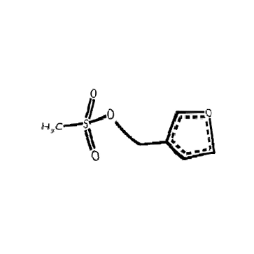 CS(=O)(=O)OCc1ccoc1